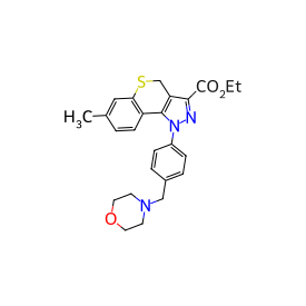 CCOC(=O)c1nn(-c2ccc(CN3CCOCC3)cc2)c2c1CSc1cc(C)ccc1-2